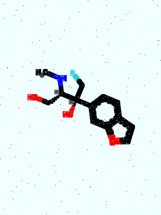 CN[C@@H](CO)[C@@](O)(CF)c1ccc2ccoc2c1